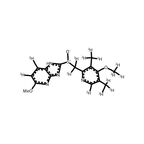 [2H]c1nc(C([2H])([2H])[S+]([O-])c2nc3nc(OC)c([2H])c([2H])c3[nH]2)c(C([2H])([2H])[2H])c(OC([2H])([2H])[2H])c1C([2H])([2H])[2H]